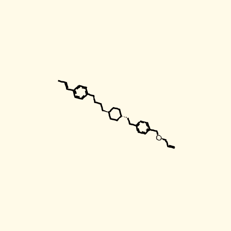 C=CCOCc1ccc(CC[C@H]2CC[C@H](CCCCc3ccc(C=CC)cc3)CC2)cc1